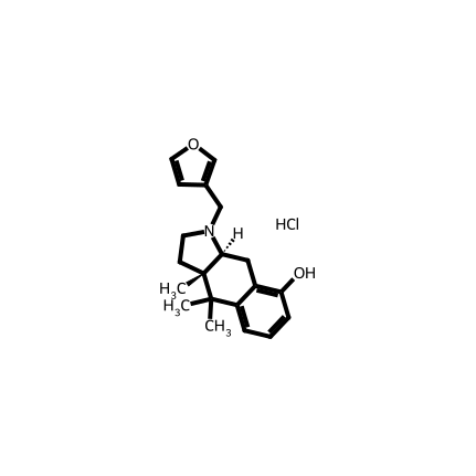 CC1(C)c2cccc(O)c2C[C@@H]2N(Cc3ccoc3)CC[C@]21C.Cl